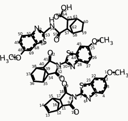 COc1ccc2nc(N3C(=O)C4C5C=CC(C5)C4C3=O)sc2c1.COc1ccc2nc(N3C(=O)C4C5C=CC(C5)C4C3=O)sc2c1.COc1ccc2nc(NC(=O)C3C4CCC(C4)C3C(=O)O)sc2c1